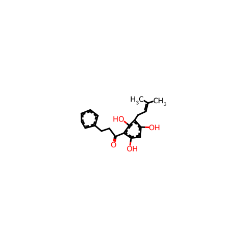 CC(C)=CCc1c(O)cc(O)c(C(=O)CCc2ccccc2)c1O